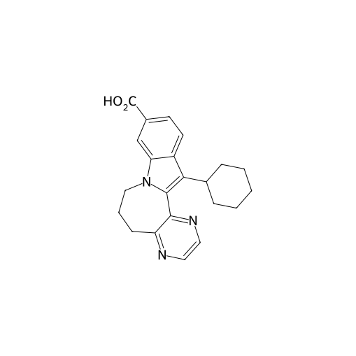 O=C(O)c1ccc2c(C3CCCCC3)c3n(c2c1)CCCc1nccnc1-3